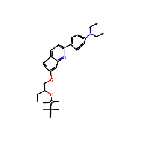 CCC(COc1ccc2ccc(-c3ccc(N(CC)CC)cc3)nc2c1)O[Si](C)(C)C(C)(C)C